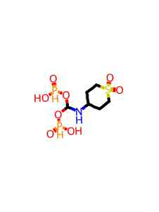 O=[PH](O)OC(NC1CCS(=O)(=O)CC1)O[PH](=O)O